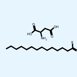 CCCCCCCCCCCCC[C](=O)[K].NC(CC(=O)O)C(=O)O